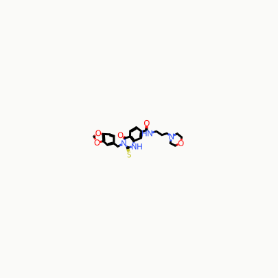 O=C(NCCCN1CCOCC1)c1ccc2c(=O)n(Cc3ccc4c(c3)OCO4)c(=S)[nH]c2c1